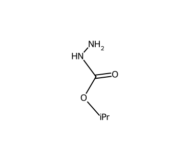 CC(C)OC(=O)NN